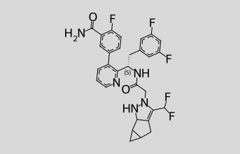 NC(=O)c1cc(-c2cccnc2[C@H](Cc2cc(F)cc(F)c2)NC(=O)CN2NC3C(=C2C(F)F)CC2CC23)ccc1F